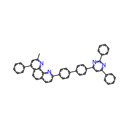 Cc1cc(-c2ccccc2)c2ccc3ccc(-c4ccc(-c5ccc(-c6cc(-c7ccccc7)nc(-c7ccccc7)n6)cc5)cc4)nc3c2n1